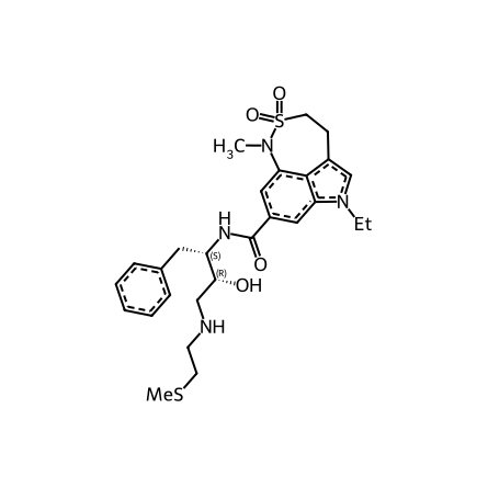 CCn1cc2c3c(cc(C(=O)N[C@@H](Cc4ccccc4)[C@H](O)CNCCSC)cc31)N(C)S(=O)(=O)CC2